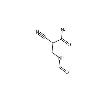 N#CC(CNC=O)[C](=O)[Na]